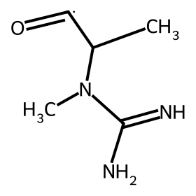 CC([C]=O)N(C)C(=N)N